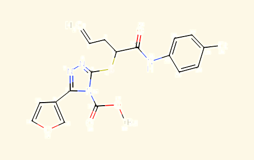 C=CCC(Sc1nnc(-c2ccoc2)n1C(=O)OC(C)(C)C)C(=O)Nc1ccc(CC)cc1